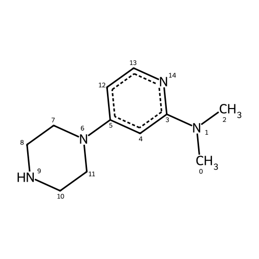 CN(C)c1cc(N2CCNCC2)ccn1